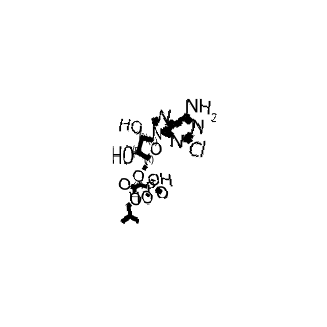 CC(C)COC(=O)[C@@H](OC[C@H]1O[C@@H](n2cnc3c(N)nc(Cl)nc32)[C@H](O)[C@H]1O)P(=O)(O)O